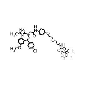 COc1ccc2c(c1)C(c1ccc(Cl)cc1)=N[C@@H](CC(=O)Nc1ccc(OCCOCCNC(=O)OC(C)(C)C)cc1)c1nnc(C)n1-2